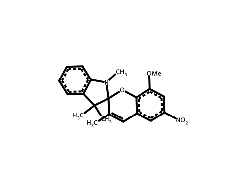 COc1cc([N+](=O)[O-])cc2c1OC1(C(C)=C2)N(C)c2ccccc2C1(C)C